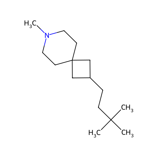 CN1CCC2(CC1)CC(CCC(C)(C)C)C2